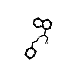 OCC(OCCc1ccccc1)c1cccc2ccccc12